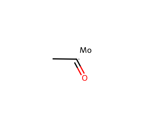 C[C]=O.[Mo]